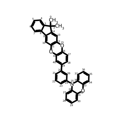 CC1(C)c2ccccc2-c2cc3c(cc21)Oc1ccc(-c2cccc(N4c5ccccc5Oc5ccccc54)c2)cc1O3